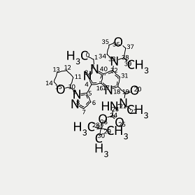 CCn1nc(-c2ccnn2C2CCCCO2)c2nc(C(=O)N(C)NC(=O)OC(C)(C)C)cc(N3CCOC[C@H]3C)c21